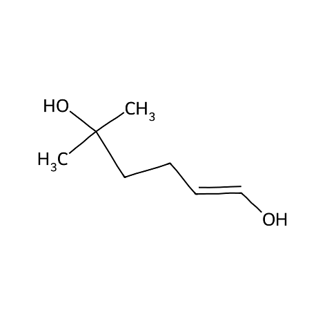 CC(C)(O)CCC=CO